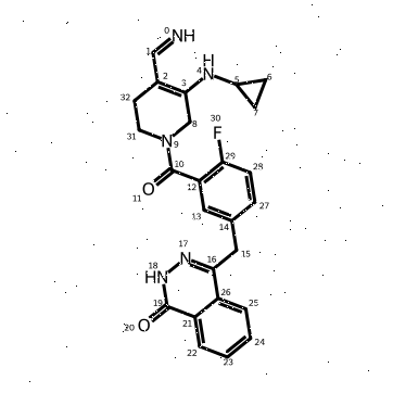 N=CC1=C(NC2CC2)CN(C(=O)c2cc(Cc3n[nH]c(=O)c4ccccc34)ccc2F)CC1